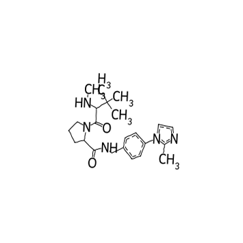 CNC(C(=O)N1CCCC1C(=O)NCc1ccc(-n2ccnc2C)cc1)C(C)(C)C